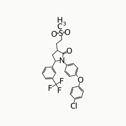 CS(=O)(=O)CCC1CC(c2cccc(C(F)(F)F)c2)N(c2ccc(Oc3ccc(Cl)cc3)cc2)C1=O